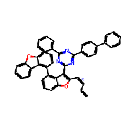 C=C/C=C\c1oc2cccc(-c3cccc4oc5ccccc5c34)c2c1-c1nc(-c2ccccc2)nc(-c2ccc(-c3ccccc3)cc2)n1